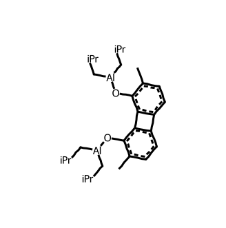 Cc1ccc2c(c1[O][Al]([CH2]C(C)C)[CH2]C(C)C)-c1c-2ccc(C)c1[O][Al]([CH2]C(C)C)[CH2]C(C)C